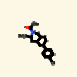 CCOC(=O)C1CC2CC(c3ccc(C#N)cc3)CCC2CN1C(=O)OC